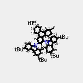 Cc1ccc2c(c1)c1cc(C(C)(C)C)ccc1c1cc3c4c(c21)-n1c2ccc(C(C)(C)C)cc2c2cc(C(C)(C)C)cc(c21)B4c1cc(C(C)(C)C)cc2c4cc(C(C)(C)C)ccc4n-3c12